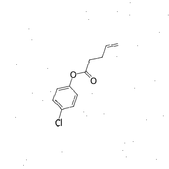 C=CCCC(=O)Oc1ccc(Cl)cc1